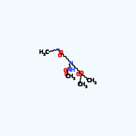 CCCCCC/C=C\COC(=O)CCCCCCCN(CCCCCCCC(=O)OC(CCCCC)CCCCCC)CCCNC(=O)COC